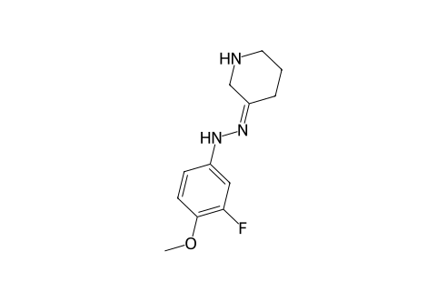 COc1ccc(NN=C2CCCNC2)cc1F